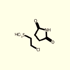 O=C1CCC(=O)N1.O=S(=O)(O)CCCl